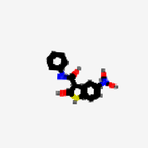 O=C(Nc1ccccc1)C1C(=O)Sc2ccc([N+](=O)[O-])cc21